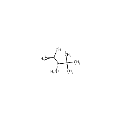 C[C@@H](O)[C@@H](N)C(C)(C)C